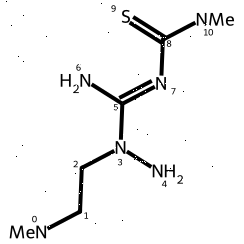 CNCCN(N)/C(N)=N/C(=S)NC